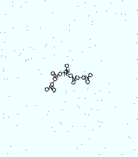 c1ccc(-c2cc(-c3ccc(-n4c5ccccc5c5cc(-c6ccc7c(c6)c6ccccc6n7-c6ccccc6)ccc54)cc3)nc(-c3ccc(-n4c5ccccc5c5cc(-c6ccc7c(c6)c6ccccc6n7-c6ccccc6)ccc54)cc3)n2)cc1